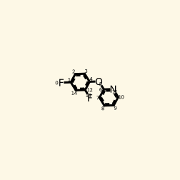 Fc1ccc(Oc2ccccn2)c(F)c1